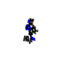 O=C(O)NC1CC(c2nnc(-c3nccs3)n2-c2ccccc2F)C1